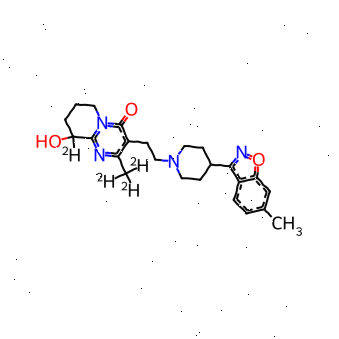 [2H]C([2H])([2H])c1nc2n(c(=O)c1CCN1CCC(c3noc4cc(C)ccc34)CC1)CCCC2([2H])O